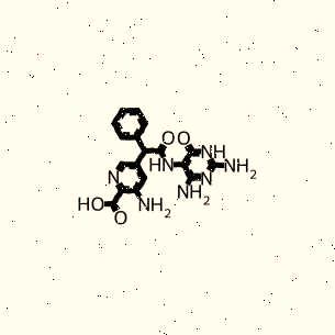 Nc1nc(N)c(NC(=O)C(c2ccccc2)c2cnc(C(=O)O)c(N)c2)c(=O)[nH]1